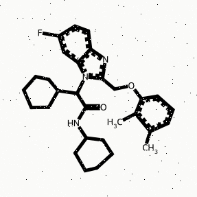 Cc1cccc(OCc2nc3ccc(F)cc3n2C(C(=O)NC2CCCCC2)C2CCCCC2)c1C